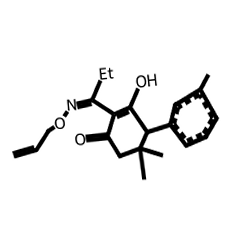 C=CCO/N=C(/CC)C1=C(O)C(c2cccc(C)c2)C(C)(C)CC1=O